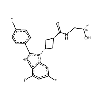 C[C@H](O)CNC(=O)[C@H]1C[C@H](c2c(-c3ccc(F)cc3)[nH]c3c(F)cc(F)cc32)C1